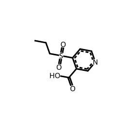 CCCS(=O)(=O)c1ccncc1C(=O)O